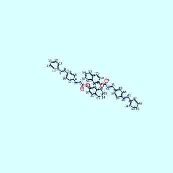 O=C(/C=C/c1ccc(/C=C/c2ccccc2)cc1)Oc1ccc2ccccc2c1-c1c(OC(=O)/C=C/c2ccc(/C=C/c3ccccc3)cc2)ccc2ccccc12